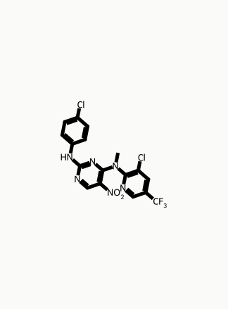 CN(c1ncc(C(F)(F)F)cc1Cl)c1nc(Nc2ccc(Cl)cc2)ncc1[N+](=O)[O-]